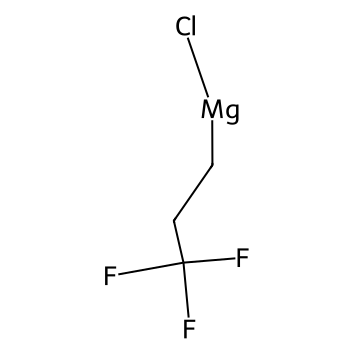 FC(F)(F)C[CH2][Mg][Cl]